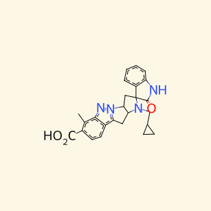 Cc1c(C(=O)O)ccc2c3n(nc12)C1CC2(C(=O)Nc4ccccc42)N(CC2CC2)C1C3